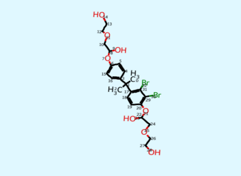 CC(C)(c1ccc(OC(O)COCCO)cc1)c1ccc(OC(O)COCCO)c(Br)c1Br